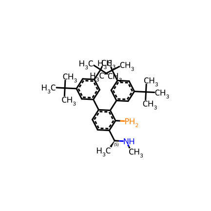 CN[C@@H](C)c1ccc(-c2cc(C(C)(C)C)cc(C(C)(C)C)c2)c(-c2cc(C(C)(C)C)cc(C(C)(C)C)c2)c1P